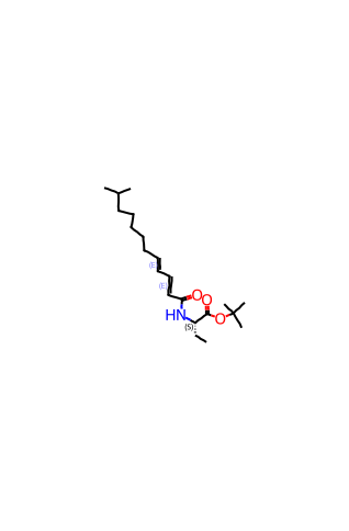 CC[C@H](NC(=O)/C=C/C=C/CCCCCC(C)C)C(=O)OC(C)(C)C